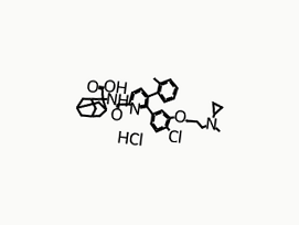 Cc1ccccc1-c1ccc(C(=O)NC2(C(=O)O)C3CC4CC(C3)CC2C4)nc1-c1ccc(Cl)c(OCCCN(C)C2CC2)c1.Cl